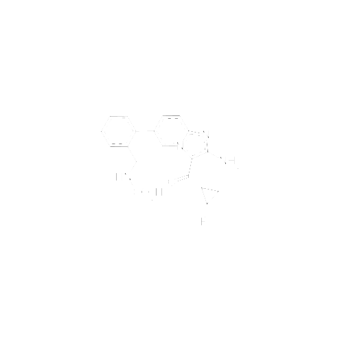 Nc1nc2ccc(-c3ccccc3CNC(=O)O)cn2c1C(=O)[C@@H]1C[C@@H]1F